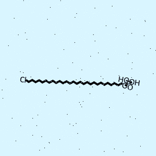 O=P(O)(O)OCCCCCCCCCCCCCCCCCCCCCCCCCCCCCl